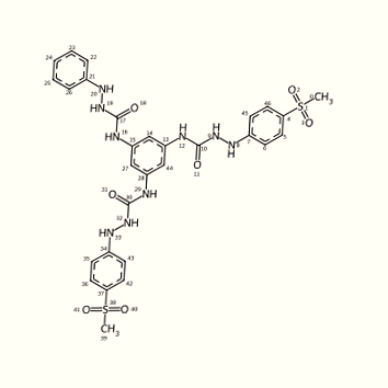 CS(=O)(=O)c1ccc(NNC(=O)Nc2cc(NC(=O)NNc3ccccc3)cc(NC(=O)NNc3ccc(S(C)(=O)=O)cc3)c2)cc1